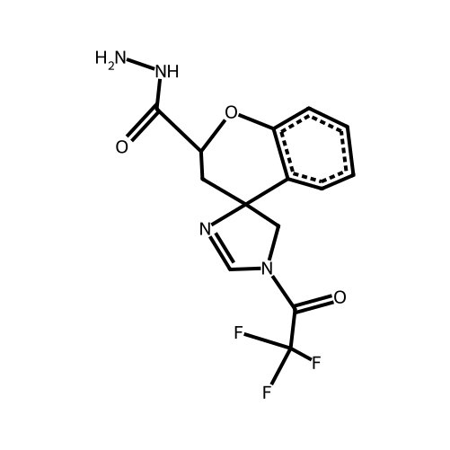 NNC(=O)C1CC2(CN(C(=O)C(F)(F)F)C=N2)c2ccccc2O1